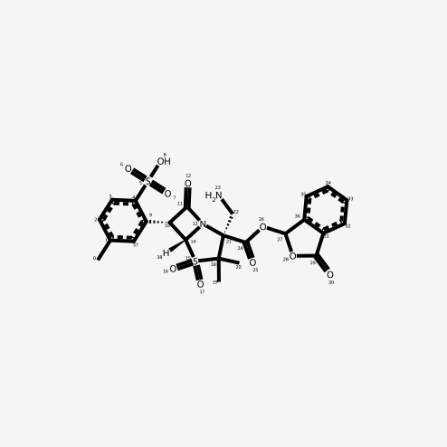 Cc1ccc(S(=O)(=O)O)c([C@@H]2C(=O)N3[C@@H]2S(=O)(=O)C(C)(C)[C@]3(CN)C(=O)OC2OC(=O)c3ccccc32)c1